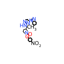 CC(Nc1nccc(-n2cnc3ccccc32)n1)C1CCCN(C(=O)Oc2ccc([N+](=O)[O-])cc2)C1